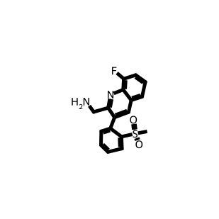 CS(=O)(=O)c1ccccc1-c1cc2cccc(F)c2nc1CN